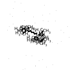 CC(C)c1nc(NC(C)(C)CC(C)(C)C)nc(N(CCCCCCN(C2CC(C)(C)NC(C)(C)C2)C(C)(C)C)C2CC(C)(C)NC(C)(C)C2)n1